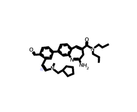 CCCN(CCC)C(=O)C1=Cc2ccc(-c3ccc(C=O)c(/C=C\N(C)CC4CCCC4)c3)cc2N=C(N)C1